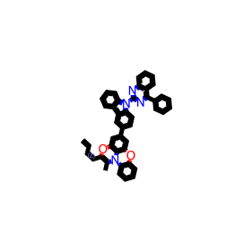 C=C/C=C\C1=C(C)N2c3ccccc3Oc3cc(-c4ccc5c(c4)c4ccccc4n5-c4nc(-c5ccccc5)c5ccccc5n4)cc(c32)O1